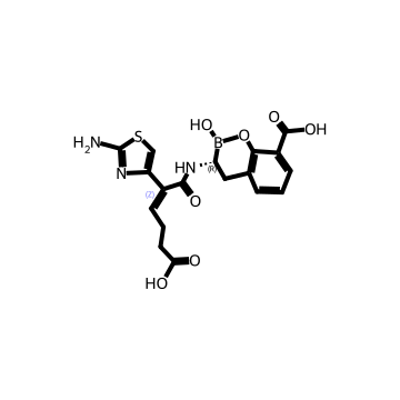 Nc1nc(/C(=C/CCC(=O)O)C(=O)N[C@H]2Cc3cccc(C(=O)O)c3OB2O)cs1